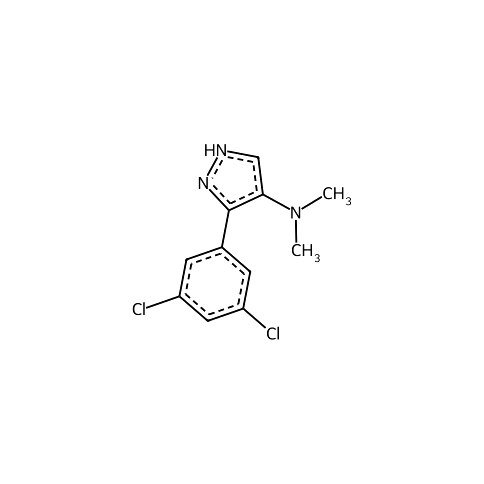 CN(C)c1c[nH]nc1-c1cc(Cl)cc(Cl)c1